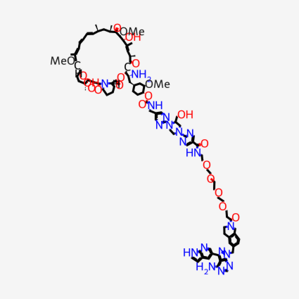 CO[C@H]1C[C@@H]2CC[C@@H](C)[C@@](O)(O2)C(=O)C(=O)N2CCCC[C@H]2C(=O)O[C@H]([C@H](N)C[C@@H]2CC[C@@H](OC(=O)NCc3cnc(N4CCN(c5ncc(C(=O)NCCOCCOCCOCCOCCC(=O)N6CCc7cc(Cn8nc(-c9cnc%10[nH]ccc%10c9)c9c(N)ncnc98)ccc7C6)cn5)CC4CO)nc3)[C@H](OC)C2)CC(=O)[C@H](C)/C=C(\C)[C@@H](O)[C@@H](OC)C(=O)[C@H](C)C[C@H](C)/C=C/C=C/C=C/1C